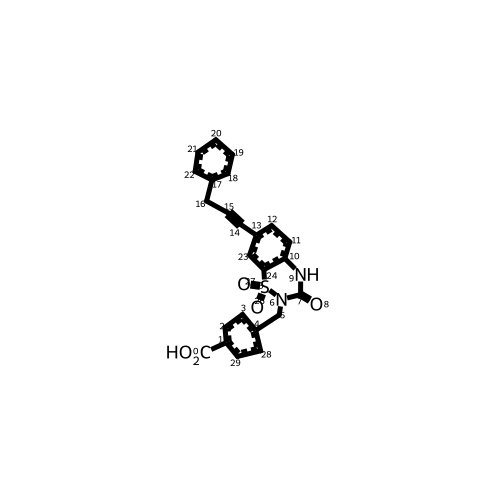 O=C(O)c1ccc(CN2C(=O)Nc3ccc(C#CCc4ccccc4)cc3S2(=O)=O)cc1